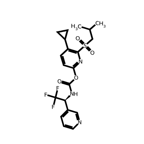 CC(C)CS(=O)(=O)c1nc(OC(=O)N[C@@H](c2cccnc2)C(F)(F)F)ccc1C1CC1